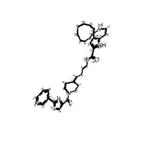 O=C(NCCCCC1CCN(C(=O)c2csc(-c3cccnc3)n2)CC1)c1cc2c([nH]1)CCNC21CCCCCCCC1